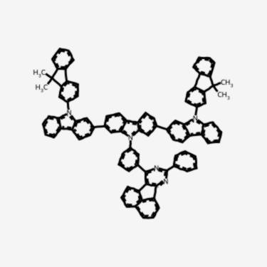 CC1(C)c2ccccc2-c2ccc(-n3c4ccccc4c4ccc(-c5ccc6c7ccc(-c8ccc9c%10ccccc%10n(-c%10ccc%11c(c%10)C(C)(C)c%10ccccc%10-%11)c9c8)cc7n(-c7cccc(-c8nc(-c9ccccc9)nc9c8-c8cccc%10cccc-9c8%10)c7)c6c5)cc43)cc21